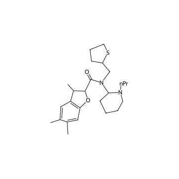 CCCN1CCCCC1N(CC1CCCS1)C(=O)C1Oc2cc(C)c(C)cc2C1C